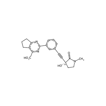 CN1CC[C@@](O)(C#Cc2cccc(-c3nc4c(c(C(=O)O)n3)CCC4)c2)C1=O